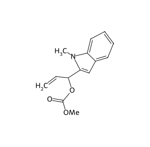 C=CC(OC(=O)OC)c1cc2ccccc2n1C